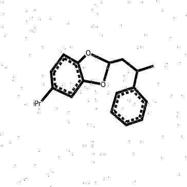 CC(C)c1ccc2c(c1)OC(CC(C)c1ccccc1)O2